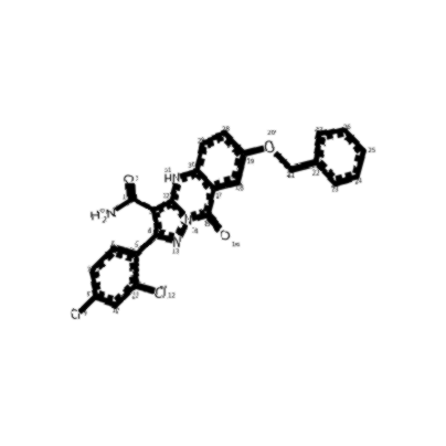 NC(=O)c1c(-c2ccc(Cl)cc2Cl)nn2c(=O)c3cc(OCc4ccccc4)ccc3[nH]c12